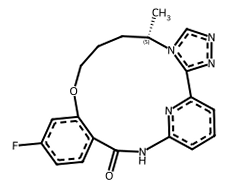 C[C@H]1CCCOc2cc(F)ccc2C(=O)Nc2cccc(n2)-c2nncn21